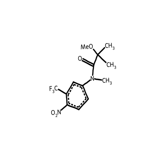 COC(C)(C)C(=O)N(C)c1ccc([N+](=O)[O-])c(C(F)(F)F)c1